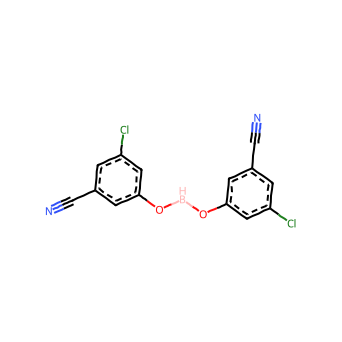 N#Cc1cc(Cl)cc(OBOc2cc(Cl)cc(C#N)c2)c1